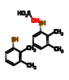 Cc1cccc(S)c1C.Cc1cccc(S)c1C.O=S(=O)(O)O